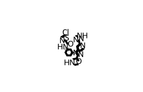 O=C(N[C@H]1CCC[C@@H](n2c(C3CNCCO3)nc3cnc(-c4nc[nH]n4)cc32)C1)c1ncc(Cl)s1